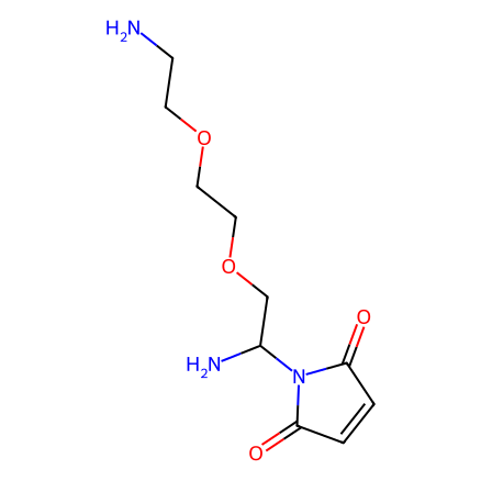 NCCOCCOCC(N)N1C(=O)C=CC1=O